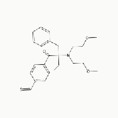 CCC(Cc1ccccc1)(C(=O)c1ccc(C=S)cc1)N(CCOC)CCOC